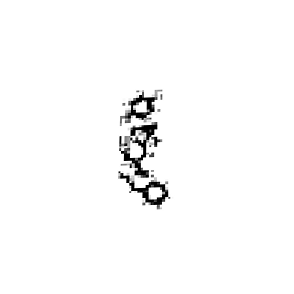 CN(Cc1ccccc1)C(=O)C(C=O)CC1NC[C@@]2(c3cc(F)ccc3F)C[C@@H]12